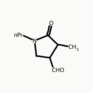 CCCN1CC(C=O)C(C)C1=O